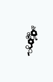 CCOC(=O)Cc1ccc2c(c1)N(C)c1ccc(Br)cc1S2(=O)=O